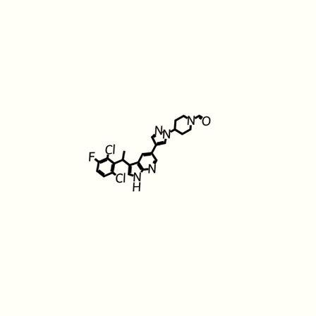 CC(c1c(Cl)ccc(F)c1Cl)c1c[nH]c2ncc(-c3cnn(C4CCN(C=O)CC4)c3)cc12